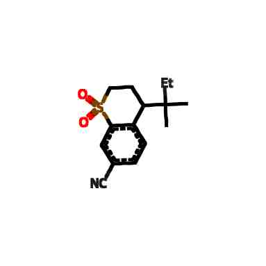 CCC(C)(C)C1CCS(=O)(=O)c2cc(C#N)ccc21